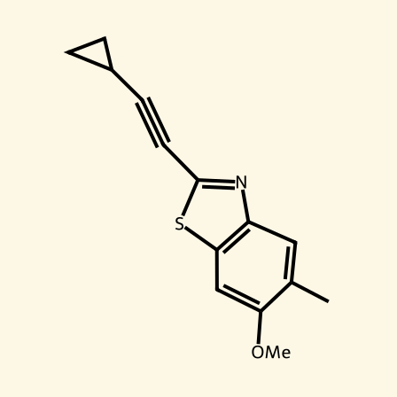 COc1cc2sc(C#CC3CC3)nc2cc1C